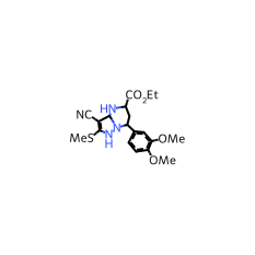 CCOC(=O)C1CC(c2ccc(OC)c(OC)c2)N2NC(SC)=C(C#N)C2N1